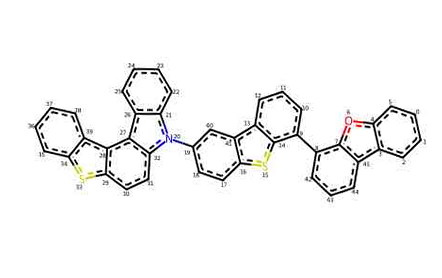 c1ccc2c(c1)oc1c(-c3cccc4c3sc3ccc(-n5c6ccccc6c6c7c(ccc65)sc5ccccc57)cc34)cccc12